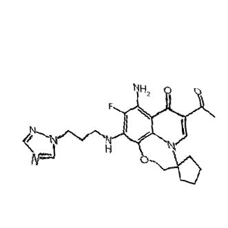 CC(=O)c1cn2c3c(c(NCCCn4cncn4)c(F)c(N)c3c1=O)OCC21CCCC1